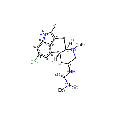 CCCN1C[C@@H](NC(=O)N(CC)CC)C[C@@H]2c3cc(Cl)cc4[nH]c(C)c(c34)C[C@H]21